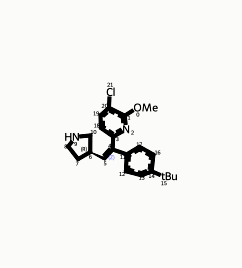 COc1nc(/C(=C\[C@H]2CCNC2)c2ccc(C(C)(C)C)cc2)ccc1Cl